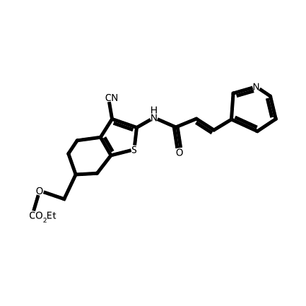 CCOC(=O)OCC1CCc2c(sc(NC(=O)/C=C/c3cccnc3)c2C#N)C1